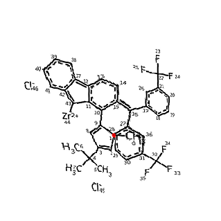 CC1C=C(C(C)(C)C)C=C1c1c2c(ccc1=C(c1cccc(C(F)(F)F)c1)c1cccc(C(F)(F)F)c1)=c1ccccc1=[C]2[Zr+2].[Cl-].[Cl-]